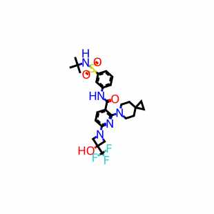 CC(C)(C)NS(=O)(=O)c1cccc(NC(=O)c2ccc(N3CC(O)(C(F)(F)F)C3)nc2N2CCC3(CC2)CC3)c1